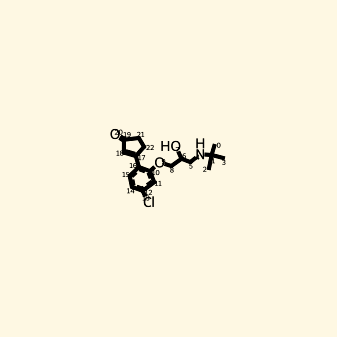 CC(C)(C)NCC(O)COc1cc(Cl)ccc1C1=CC(=O)CC1